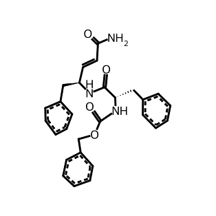 NC(=O)/C=C/[C@H](Cc1ccccc1)NC(=O)[C@H](Cc1ccccc1)NC(=O)OCc1ccccc1